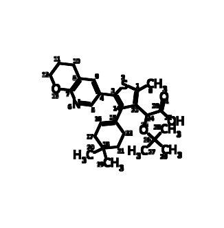 Cc1sc(-c2cnc3c(c2)CCCO3)c(C2=CCC(C)(C)CC2)c1C(OC(C)(C)C)C(=O)O